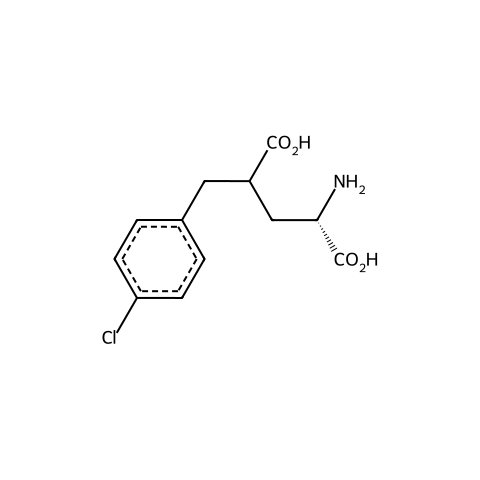 N[C@@H](CC(Cc1ccc(Cl)cc1)C(=O)O)C(=O)O